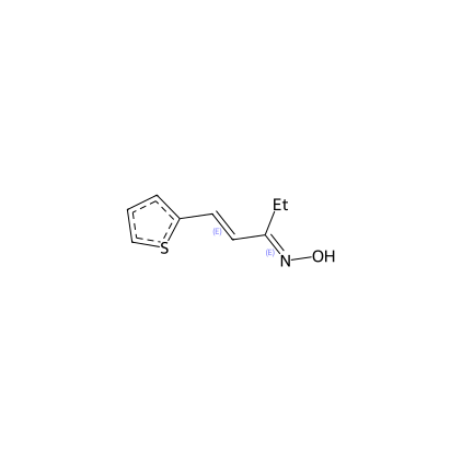 CCC(/C=C/c1cccs1)=N\O